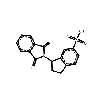 CS(=O)(=O)c1ccc2c(c1)C(N1C(=O)c3ccccc3C1=O)CC2